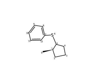 C[C@@H]1CCCC1Sc1ccccc1